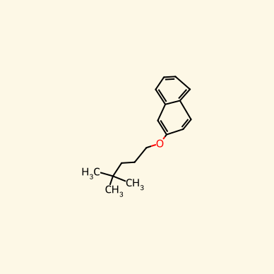 CC(C)(C)CCCOc1ccc2ccccc2c1